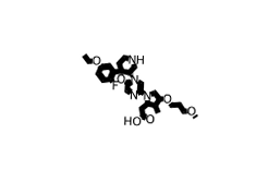 CCOc1ccc(F)c([C@@]2(Oc3cnc(N4CC(OCCCOC)C(C)C4CC(=O)O)cn3)CCNC[C@H]2C)c1